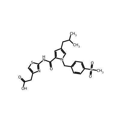 CC(C)Cc1cc(C(=O)Nc2nc(CC(=O)O)cs2)n(Cc2ccc(S(C)(=O)=O)cc2)c1